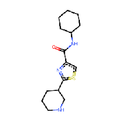 O=C(NC1CCCCC1)c1csc(C2CCCNC2)n1